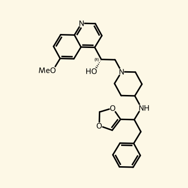 COc1ccc2nccc([C@@H](O)CN3CCC(NC(Cc4ccccc4)C4=COCO4)CC3)c2c1